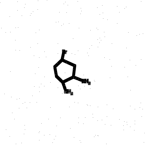 NC1CCC(Br)CC1N